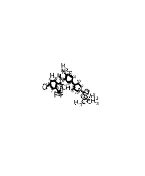 C[C@H](c1ccc(Cl)cc1C(F)(F)F)N(N)c1cc(C2=CCN(C(=O)OC(C)(C)C)CC2)ccc1N